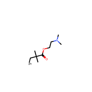 CC(C)CC(C)(C)C(=O)OCCN(C)C